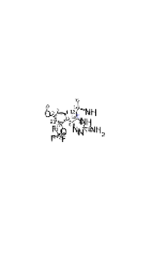 COc1ccc(C2=NN=C(N)N/C2=C\C(C)=N)c(OC(F)(F)F)c1